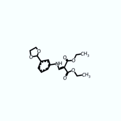 CCOC(=O)C(=CNc1cccc(C2OCCO2)c1)C(=O)OCC